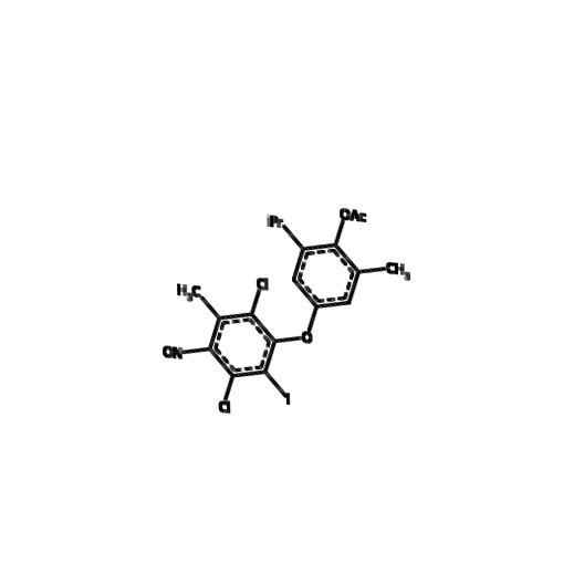 CC(=O)Oc1c(C)cc(Oc2c(Cl)c(C)c(N=O)c(Cl)c2I)cc1C(C)C